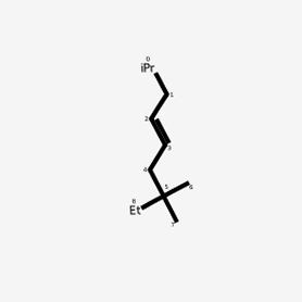 [CH2]C(C)CC=CCC(C)(C)CC